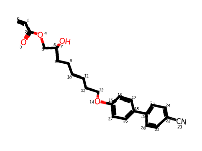 C=CC(=O)OCC(O)CCCCCCOc1ccc(-c2ccc(C#N)cc2)cc1